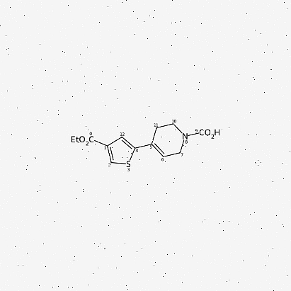 CCOC(=O)c1csc(C2=CCN(C(=O)O)CC2)c1